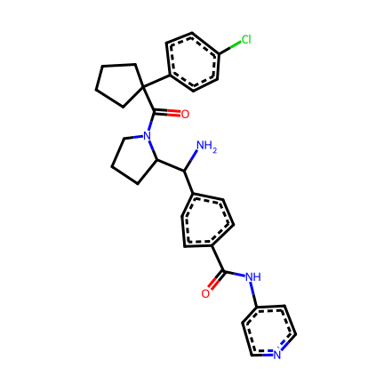 NC(c1ccc(C(=O)Nc2ccncc2)cc1)C1CCCN1C(=O)C1(c2ccc(Cl)cc2)CCCC1